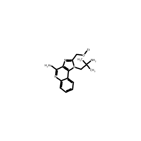 CCOCc1nc2c([AsH2])nc3ccccc3c2n1CC(C)(C)N